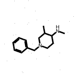 CNC1CCN(Cc2ccccc2)CC1C